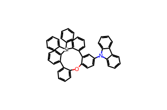 c1ccc([Si]2(c3ccccc3)c3ccccc3-c3ccccc3Oc3ccc(-n4c5ccccc5c5ccccc54)cc3-c3ccccc32)cc1